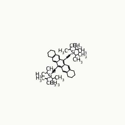 CC(C)[Si](C#Cc1c2cc3c(cc2c(C#C[Si](C(C)C)(C(C)C)C(C)C)c2cc4c(cc12)CCCC4)CCCC3)(C(C)C)C(C)C